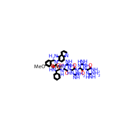 COc1ccc(CN(c2ccc3ncccc3c2N)C(O)C(=O)NC(C(=O)NC(NC(=N)N)C(=O)NC(NC(=N)N)C(=O)NC(NC(=N)N)C(=O)NC(NC(=N)N)C(N)=O)c2ccccc2)c(OC)c1